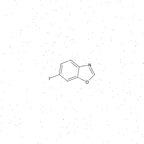 Ic1ccc2ncoc2c1